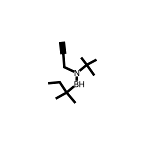 C#CCN(BC(C)(C)CC)C(C)(C)C